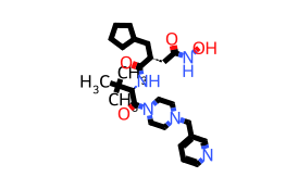 CC(C)(C)[C@H](NC(=O)[C@@H](CC(=O)NO)CC1CCCC1)C(=O)N1CCN(Cc2cccnc2)CC1